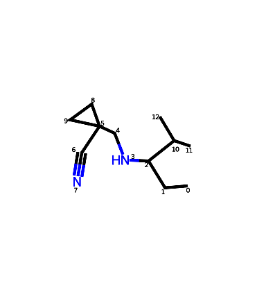 CCC(NCC1(C#N)CC1)C(C)C